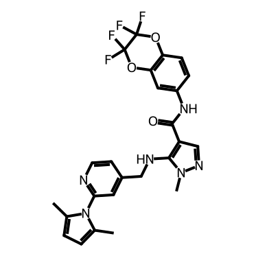 Cc1ccc(C)n1-c1cc(CNc2c(C(=O)Nc3ccc4c(c3)OC(F)(F)C(F)(F)O4)cnn2C)ccn1